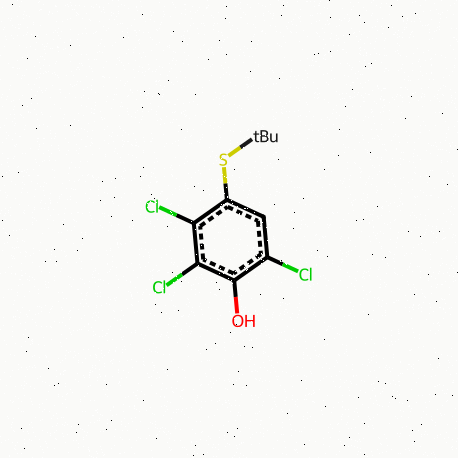 CC(C)(C)Sc1cc(Cl)c(O)c(Cl)c1Cl